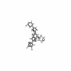 Cc1cccc(-c2ccn(-c3cc(N4CCOCC4)n4nc(-c5cc(C)n(C)n5)cc4n3)n2)c1